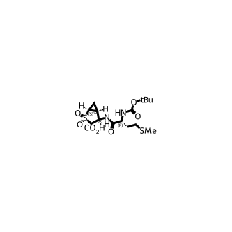 CSCC[C@@H](NC(=O)OC(C)(C)C)C(=O)N[C@@]1(C(=O)O)CS(=O)(=O)[C@H]2C[C@H]21